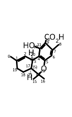 CC1=C[C@H]2c3c(cc(C)c(C(=O)O)c3O)OC(C)(C)[C@H]2CC1